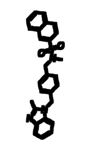 Cc1nc2ccccc2n1Cc1ccc(CN(C)S(=O)(=O)c2ccc3ccccc3c2)cc1